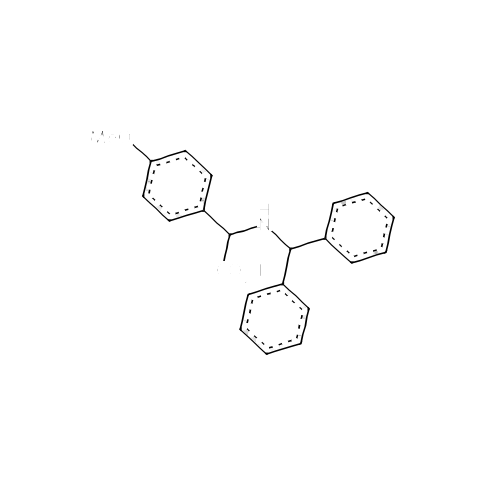 COc1ccc(C(NC(c2ccccc2)c2ccccc2)C(=O)O)cc1